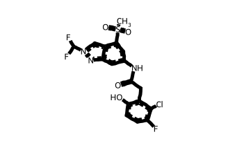 CS(=O)(=O)c1cc(NC(=O)Cc2c(O)ccc(F)c2Cl)cc2nn(C(F)F)cc12